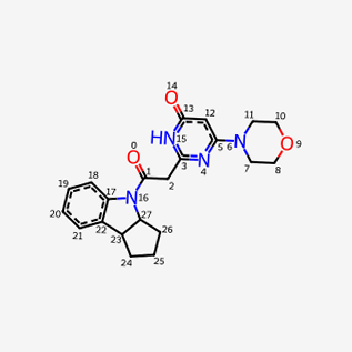 O=C(Cc1nc(N2CCOCC2)cc(=O)[nH]1)N1c2ccccc2C2CCCC21